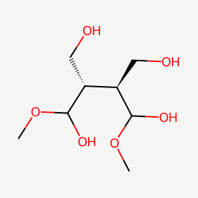 COC(O)[C@H](CO)[C@@H](CO)C(O)OC